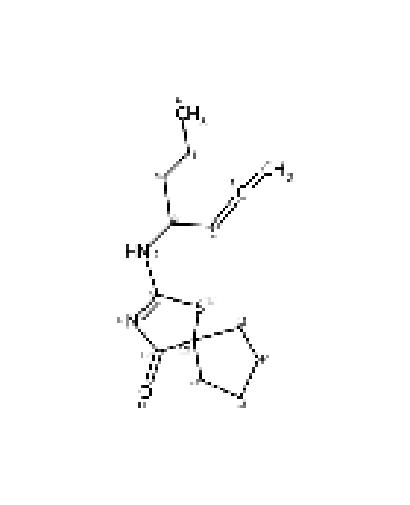 C=C=CC(CCC)NC1=NC(=O)C2(CCCC2)S1